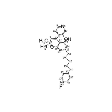 CC1(C)C=C(c2ccncc2)c2c(O)cc(CCCCCc3ccc(F)cc3)cc2O1